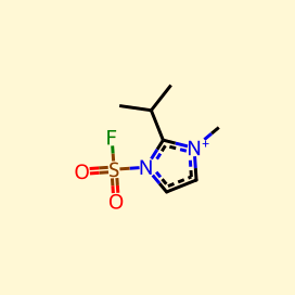 CC(C)c1n(S(=O)(=O)F)cc[n+]1C